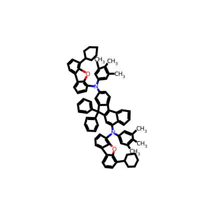 Cc1cc(N(c2ccc3c(c2)C(c2ccccc2)(c2ccccc2)c2cc(N(c4cc(C)c(C)c(C)c4)c4cccc5c4oc4c(C6CCCCC6)cccc45)c4ccccc4c2-3)c2cccc3c2oc2c(C4CCCCC4)cccc23)cc(C)c1C